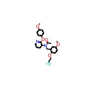 COc1ccc(Oc2ncccc2N(Cc2cc(OC)ccc2OCC[18F])C(C)=O)cc1